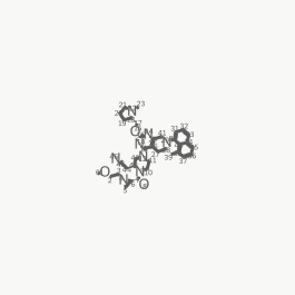 COCCN1C[C@H]1C(=O)N1CCN(c2nc(OC[C@@H]3CCCN3C)nc3c2CCN(c2cccc4cccc(C)c24)C3)C[C@@H]1CC#N